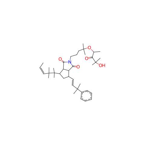 C/C=C\C(C)(C)C(C)(C)C1CC(/C=C/C(C)(C)c2ccccc2)C2C(=O)N(CCCC(C)(C)OC(C)C(=O)C(C)(C)O)C(=O)C21